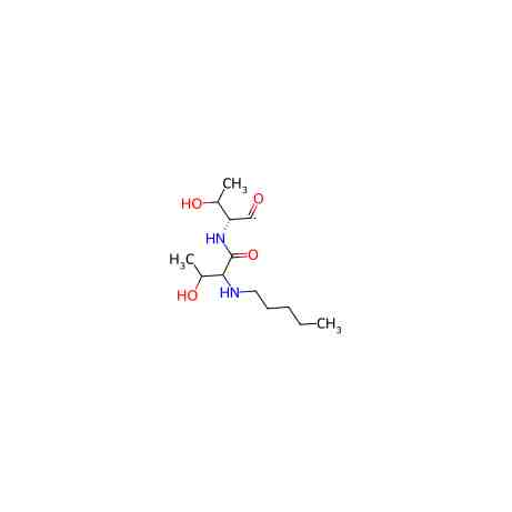 CCCCCNC(C(=O)N[C@@H]([C]=O)C(C)O)C(C)O